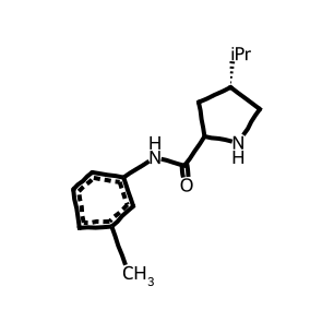 Cc1cccc(NC(=O)C2C[C@H](C(C)C)CN2)c1